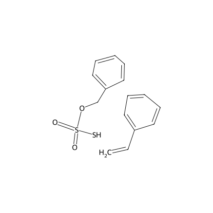 C=Cc1ccccc1.O=S(=O)(S)OCc1ccccc1